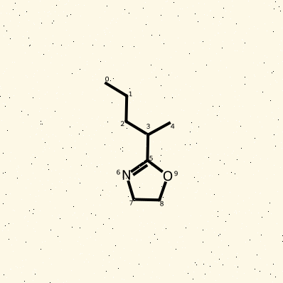 CCCC(C)C1=NCCO1